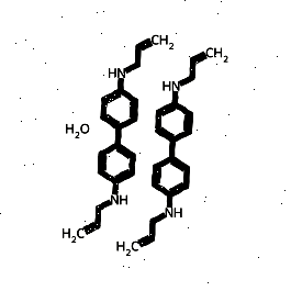 C=CCNc1ccc(-c2ccc(NCC=C)cc2)cc1.C=CCNc1ccc(-c2ccc(NCC=C)cc2)cc1.O